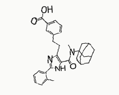 Cc1ccccc1-c1nc(CCc2cccc(C(=O)O)c2)c(C(=O)N(C)C23CC4CC(CC(C4)C2)C3)[nH]1